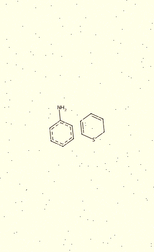 C1=CCSC=C1.Nc1ccccc1